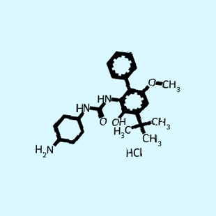 COc1cc(C(C)(C)C)c(O)c(NC(=O)NC2CCC(N)CC2)c1-c1ccccc1.Cl